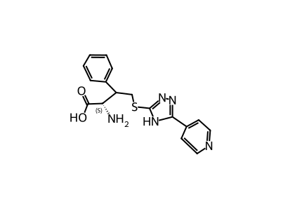 N[C@H](C(=O)O)C(CSc1nnc(-c2ccncc2)[nH]1)c1ccccc1